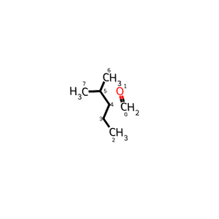 C=O.CCCC(C)C